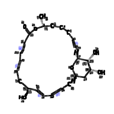 C[C@@H]1CCC/C=C/[C@@H]2O[C@@H](C/C=C\C=C\[C@@H](O)C/C=C/C=C\C(=O)O1)C[C@@H](O)[C@H]2O